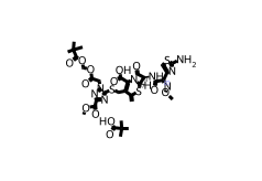 C=C1S[C@@H]2[C@H](NC(=O)/C(=N\OC)c3csc(N)n3)C(=O)N2C(C(=O)O)=C1CSc1nc(C(=O)OC)nn1CC(=O)OCOC(=O)C(C)(C)C.CC(C)(C)C(=O)O